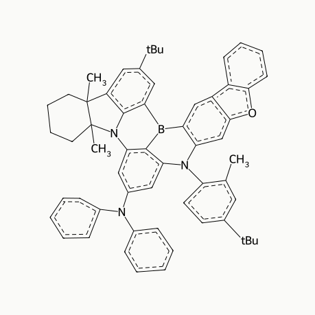 Cc1cc(C(C)(C)C)ccc1N1c2cc3oc4ccccc4c3cc2B2c3cc(C(C)(C)C)cc4c3N(c3cc(N(c5ccccc5)c5ccccc5)cc1c32)C1(C)CCCCC41C